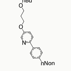 CCCCCCCCCc1ccc(-c2ccc(OCCCOCCCC)cn2)cc1